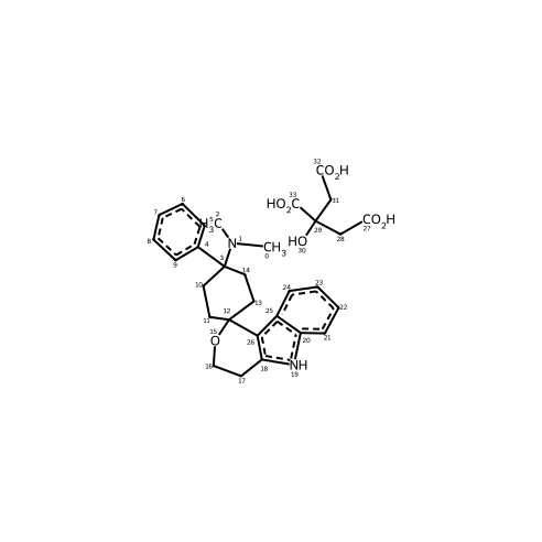 CN(C)C1(c2ccccc2)CCC2(CC1)OCCc1[nH]c3ccccc3c12.O=C(O)CC(O)(CC(=O)O)C(=O)O